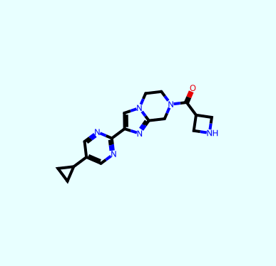 O=C(C1CNC1)N1CCn2cc(-c3ncc(C4CC4)cn3)nc2C1